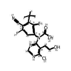 CC(C)(C)c1c(F)c(N(C(=O)O)c2ncnc(Cl)c2CCO)cc(F)c1C#N